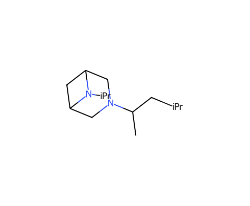 CC(C)CC(C)N1CC2CC(C1)N2C(C)C